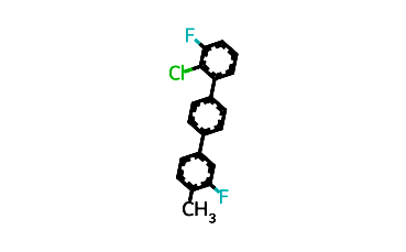 Cc1ccc(-c2ccc(-c3cccc(F)c3Cl)cc2)cc1F